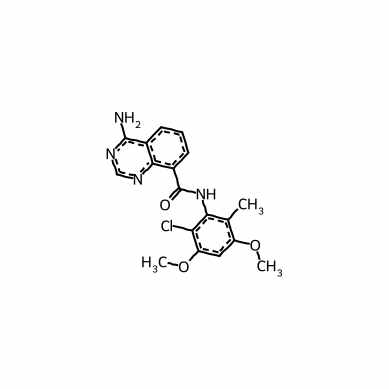 COc1cc(OC)c(Cl)c(NC(=O)c2cccc3c(N)ncnc23)c1C